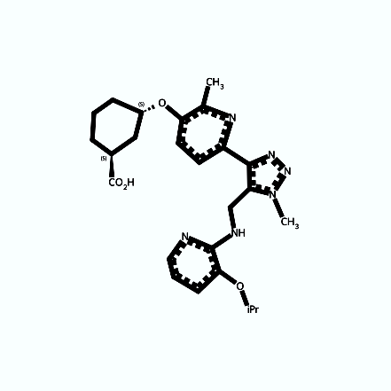 Cc1nc(-c2nnn(C)c2CNc2ncccc2OC(C)C)ccc1O[C@H]1CCC[C@H](C(=O)O)C1